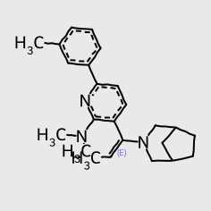 C/C=C(\c1ccc(-c2cccc(C)c2)nc1N(C)C)N1CC2CCC(C2)C1